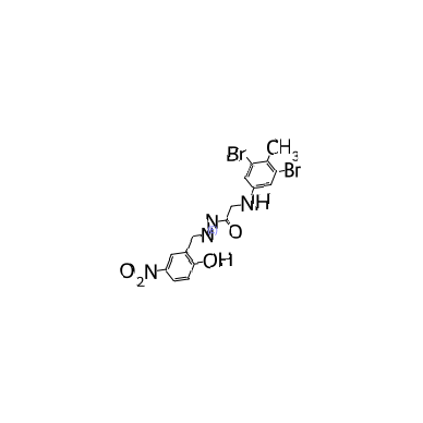 Cc1c(Br)cc(NCC(=O)/N=N/Cc2cc([N+](=O)[O-])ccc2O)cc1Br